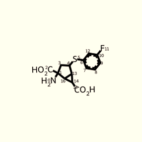 NC1(C(=O)O)CC(Sc2cccc(F)c2)C2C(C(=O)O)C21